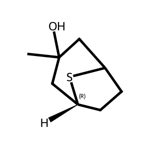 CC1(O)CC2CC[C@H](C1)S2